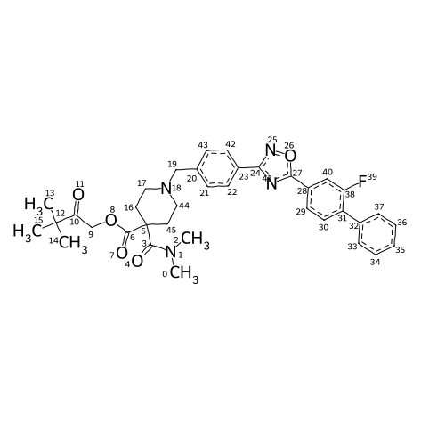 CN(C)C(=O)C1(C(=O)OCC(=O)C(C)(C)C)CCN(Cc2ccc(-c3noc(-c4ccc(-c5ccccc5)c(F)c4)n3)cc2)CC1